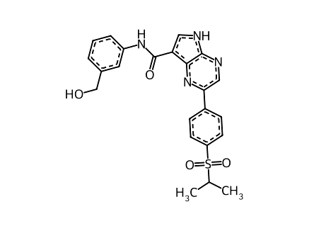 CC(C)S(=O)(=O)c1ccc(-c2cnc3[nH]cc(C(=O)Nc4cccc(CO)c4)c3n2)cc1